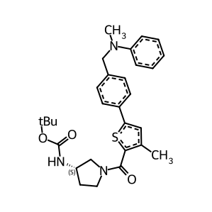 Cc1cc(-c2ccc(CN(C)c3ccccc3)cc2)sc1C(=O)N1CC[C@H](NC(=O)OC(C)(C)C)C1